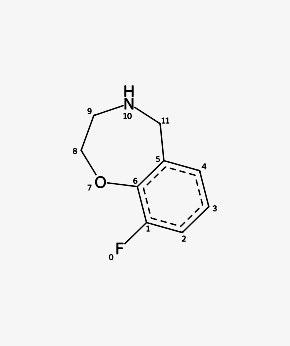 Fc1cccc2c1OCCNC2